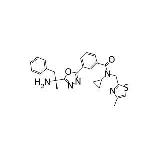 Cc1csc(CN(C(=O)c2cccc(-c3nnc([C@](C)(N)Cc4ccccc4)o3)c2)C2CC2)n1